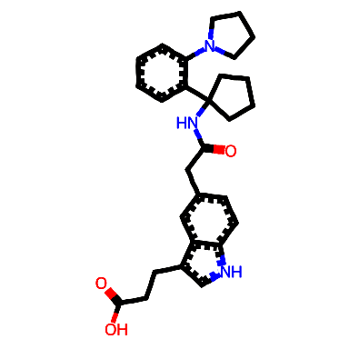 O=C(O)CCc1c[nH]c2ccc(CC(=O)NC3(c4ccccc4N4CCCC4)CCCC3)cc12